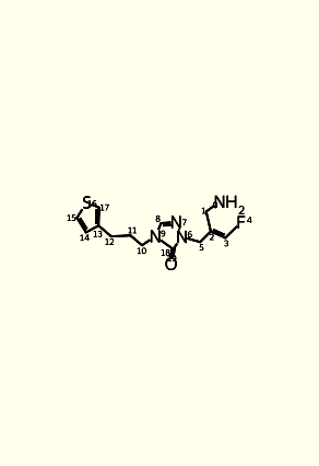 NC/C(=C\F)Cn1ncn(CCCc2ccsc2)c1=O